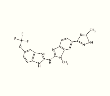 Cc1nc(-c2ccc3nc(NC4=[SH]c5cc(OC(F)(F)F)ccc5N4)n(C)c3c2)n[nH]1